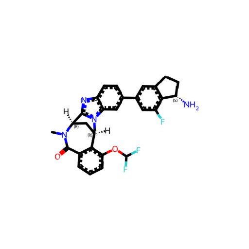 CN1C(=O)c2cccc(OC(F)F)c2[C@H]2C[C@@H]1c1nc3ccc(-c4cc(F)c5c(c4)CC[C@@H]5N)cc3n12